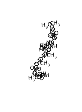 C=CC(=O)Nc1cc(Nc2nc(-c3ccnc(N4CCn5c(cc6c5CC(C)(C)C6)C4=O)c3CO)cnc2N)ccc1N1CCN(C2CCN(c3ccc4c(c3)C(=O)N(c3ccnc(C(C)(C)OP(=O)(O)O)c3)C4=O)[C@@H](C)C2)C[C@@H]1C